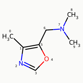 Cc1ncoc1CN(C)C